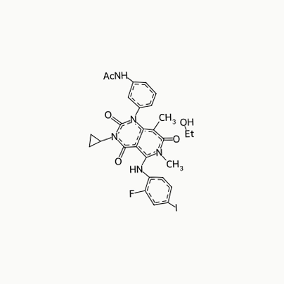 CC(=O)Nc1cccc(-n2c(=O)n(C3CC3)c(=O)c3c(Nc4ccc(I)cc4F)n(C)c(=O)c(C)c32)c1.CCO